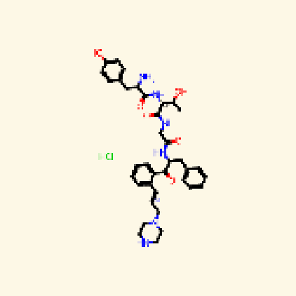 CC(O)[C@@H](NC(=O)C(N)Cc1ccc(O)cc1)C(=O)NCC(=O)NC(Cc1ccccc1)C(=O)c1ccccc1/C=C/CN1CCNCC1.Cl